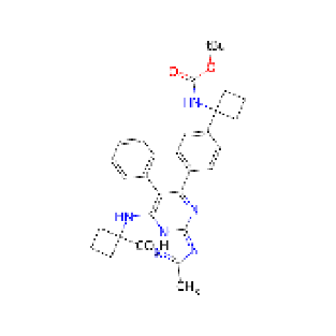 Cc1nc2nc(-c3ccc(C4(NC(=O)OC(C)(C)C)CCC4)cc3)c(-c3ccccc3)c(NC3(C(=O)O)CCC3)n2n1